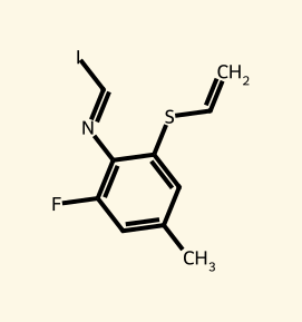 C=CSc1cc(C)cc(F)c1/N=C/I